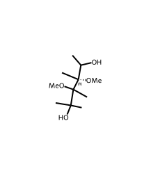 COC(C)(C(C)(C)O)[C@](C)(OC)C(C)O